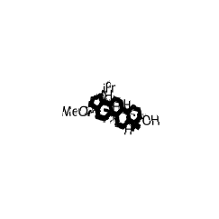 COC[C@]12CC[C@@H](C(C)C)[C@@H]1[C@H]1CC[C@@H]3[C@@]4(C)CC[C@H](O)C(C)(C)[C@@H]4CC[C@@]3(C)[C@]1(C)CC2